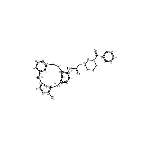 O=C(C[C@H]1CCCN(C(=O)c2ccccc2)C1)Nc1ccc2cc1CCc1cccc(c1)Nc1ncc(Cl)c(n1)N2